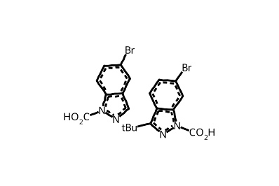 CC(C)(C)c1nn(C(=O)O)c2cc(Br)ccc12.O=C(O)n1ncc2cc(Br)ccc21